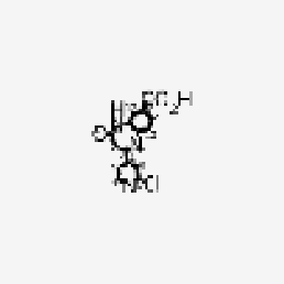 O=C1CC(c2ccnc(Cl)c2)=Nc2ccc(C(=O)O)cc2N1